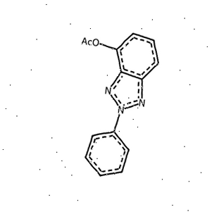 CC(=O)Oc1cccc2nn(-c3ccccc3)nc12